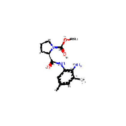 Cc1cc(NC(=O)[C@H]2CCCN2C(=O)OC(C)(C)C)c(N)c(C(F)(F)F)c1